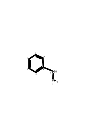 PNc1ccccc1